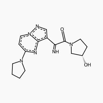 N=C(C(=O)N1CC[C@H](O)C1)c1cnn2ccc(N3CCCC3)nc12